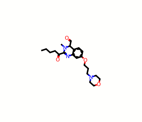 CCCCC(=O)C1=Nc2cc(OCCCN3CCOCC3)ccc2C(C=O)N1C